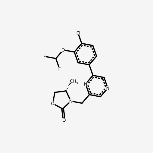 C[C@H]1COC(=O)N1Cc1cncc(-c2ccc(Cl)c(OC(F)F)c2)n1